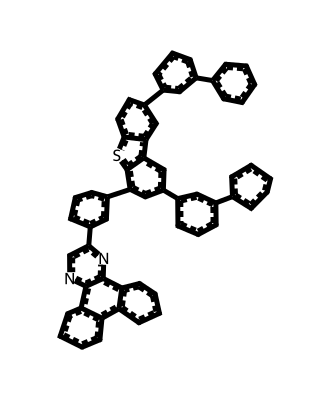 c1ccc(-c2cccc(-c3ccc4sc5c(-c6cccc(-c7cnc8c9ccccc9c9ccccc9c8n7)c6)cc(-c6cccc(-c7ccccc7)c6)cc5c4c3)c2)cc1